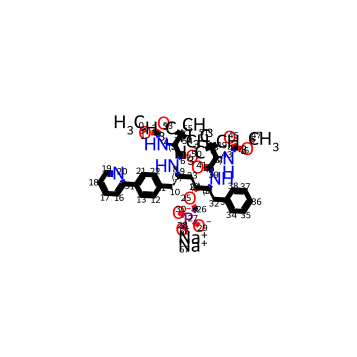 COC(=O)N[C@H](C(=O)N[C@@H](Cc1ccc(-c2ccccn2)cc1)C[C@H](OCP(=O)([O-])[O-])[C@H](Cc1ccccc1)NC(=O)[C@@H](NC(=O)OC)C(C)(C)C)C(C)(C)C.[Na+].[Na+]